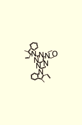 C=Cc1c(C)c2ccccc2n1-c1cnc2c(N3CCOCC3)nc(-n3c(C=C)c(C)c4ccccc43)nc2n1